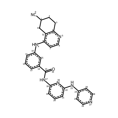 N#CC1CCc2nccc(Nc3cccc(C(=O)Nc4cccc(Nc5ccncc5)n4)c3)c2C1